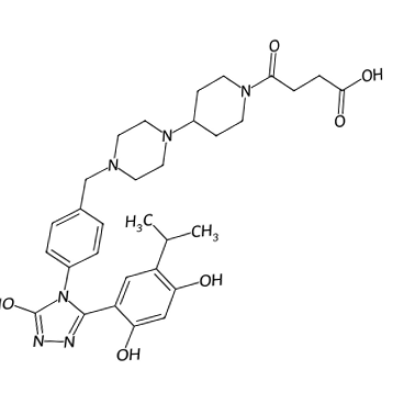 CC(C)c1cc(-c2nnc(O)n2-c2ccc(CN3CCN(C4CCN(C(=O)CCC(=O)O)CC4)CC3)cc2)c(O)cc1O